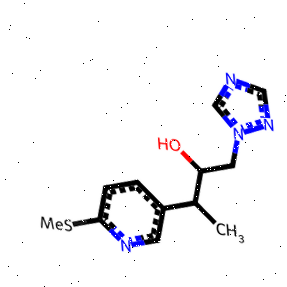 CSc1ccc(C(C)C(O)Cn2cncn2)cn1